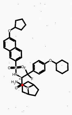 NC1CC2CCC(C1)N2C(=O)[C@@H](NS(=O)(=O)c1ccc2cc(OC3CCCC3)ccc2c1)C(F)(F)c1ccc(OC2CCCCC2)cc1